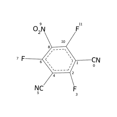 N#Cc1c(F)c(C#N)c(F)c([N+](=O)[O-])c1F